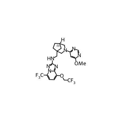 COc1cc(N2C[C@H]3CCC(CNc4nc5c(OCC(F)(F)F)ccc(C(F)(F)F)n5n4)(C3)C2)ncn1